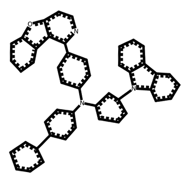 c1ccc(-c2ccc(N(c3ccc(-c4nccc5oc6ccccc6c45)cc3)c3cccc(-n4c5ccccc5c5ccccc54)c3)cc2)cc1